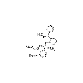 CCCC(C)c1cccc(C(CC)(CC)Pc2c(C)cccc2/C(=N/C)c2ccccc2)c1OCOC